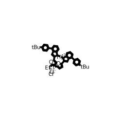 CCc1ccc(C2=Cc3c(-c4ccc(C(C)(C)C)cc4)cccc3[CH]2[Hf+2][CH]2C(c3ccc(CC)o3)=Cc3c(-c4ccc(C(C)(C)C)cc4)cccc32)o1.[Cl-].[Cl-]